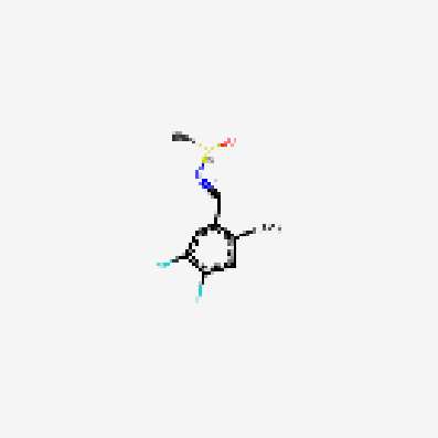 COc1cc(F)c(F)cc1/C=N/[S@@+]([O-])C(C)(C)C